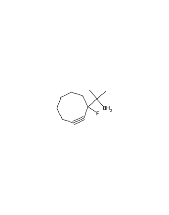 BC(C)(C)C1(F)C#CCCCCC1